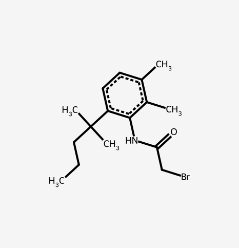 CCCC(C)(C)c1ccc(C)c(C)c1NC(=O)CBr